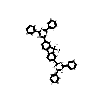 CCC1(CC)c2cc(-c3nc(-c4ccccc4)nc(-c4ccccc4)n3)ccc2-c2ccc(-c3nc(-c4ccccc4)nc(-c4ccccc4)n3)cc21